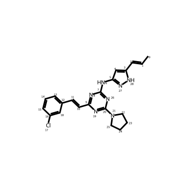 C/C=C/c1cc(Nc2nc(/C=C/c3cccc(Cl)c3)nc(N3CCCC3)n2)n[nH]1